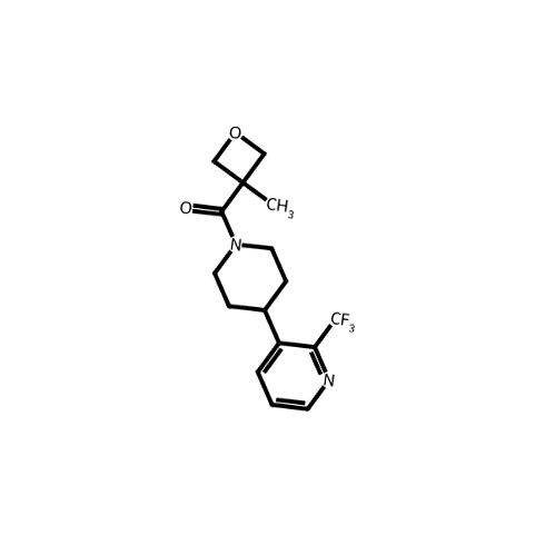 CC1(C(=O)N2CCC(c3cccnc3C(F)(F)F)CC2)COC1